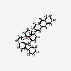 c1ccc(-n2ccc3ccc4c5ccccc5n(-c5ccc(-c6ccc7cc8ccccc8cc7c6)cc5)c4c32)cc1